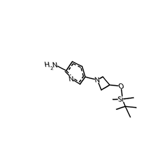 CC(C)(C)[Si](C)(C)OC1CN(c2ccc(N)nc2)C1